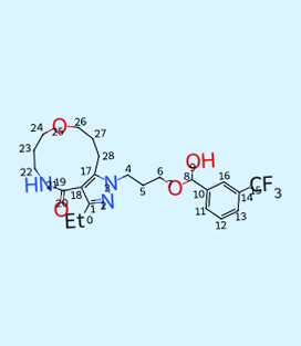 CCc1nn(CCCOC(O)c2cccc(C(F)(F)F)c2)c2c1C(=O)NCCCOCCC2